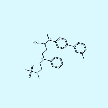 Cc1cc(-c2ccc([C@H](C)N(CC[C@H](CCN(C)S(C)(=O)=O)c3ccccc3)C(=O)O)cc2)ccn1